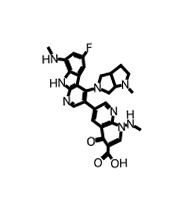 CNc1cc(F)cc2c1[nH]c1ncc(-c3cnc4c(c3)c(=O)c(C(=O)O)cn4NC)c(N3CC4CCN(C)C4C3)c12